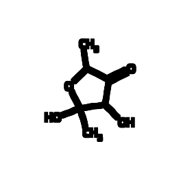 CC1OC(C)(O)C(O)C1=O